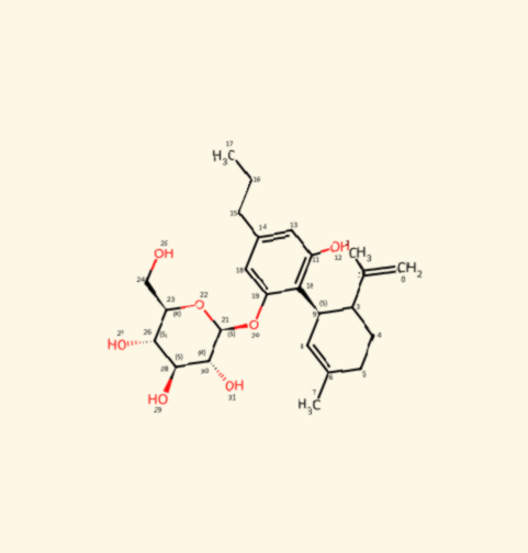 C=C(C)C1CCC(C)=C[C@H]1c1c(O)cc(CCC)cc1O[C@@H]1O[C@H](CO)[C@@H](O)[C@H](O)[C@H]1O